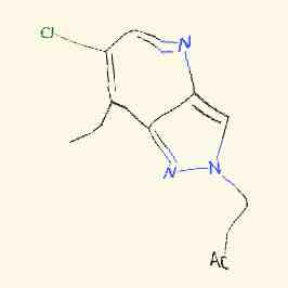 CC(=O)Cn1cc2ncc(Cl)c(C)c2n1